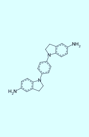 Nc1ccc2c(c1)CCN2c1ccc(N2CCc3cc(N)ccc32)cc1